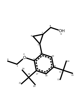 CCOc1c(C2CC2CO)cc(C(C)(C)C)cc1C(C)(C)C